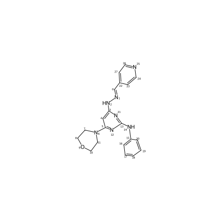 C(=N\Nc1cc(N2CCOCC2)nc(Nc2ccccc2)n1)/c1ccncc1